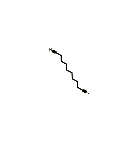 N#CCCCCCCCCC#N